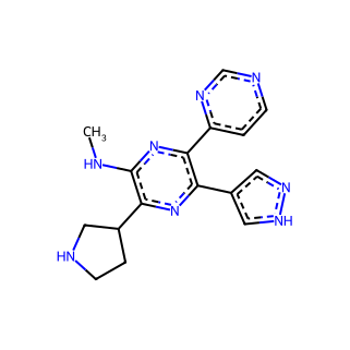 CNc1nc(-c2ccncn2)c(-c2cn[nH]c2)nc1C1CCNC1